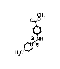 COC(=O)c1ccc(NS(=O)(=O)N2CCN(C)CC2)cc1